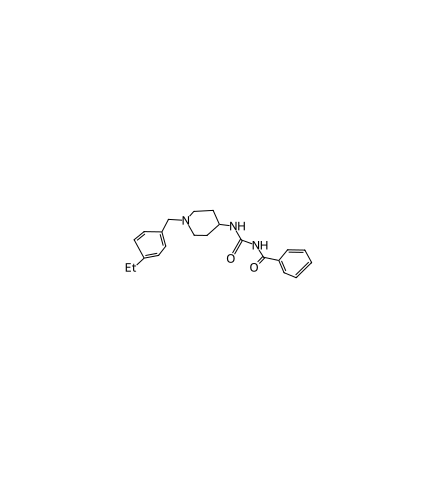 CCc1ccc(CN2CCC(NC(=O)NC(=O)c3ccccc3)CC2)cc1